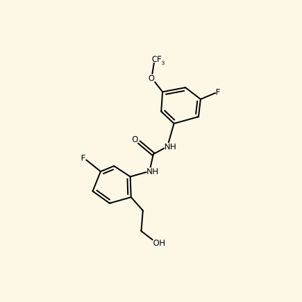 O=C(Nc1cc(F)cc(OC(F)(F)F)c1)Nc1cc(F)ccc1CCO